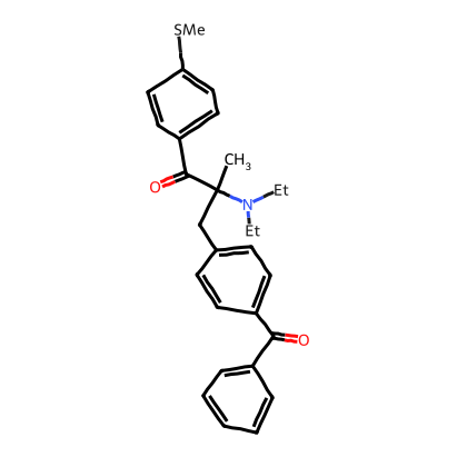 CCN(CC)C(C)(Cc1ccc(C(=O)c2ccccc2)cc1)C(=O)c1ccc(SC)cc1